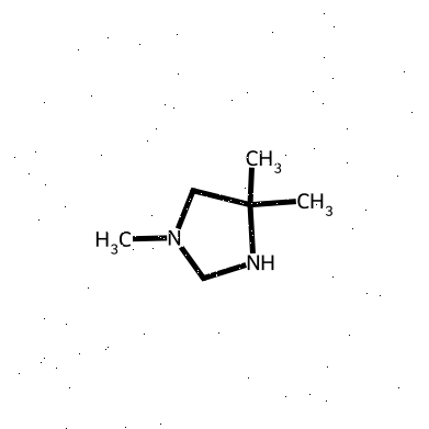 CN1CNC(C)(C)C1